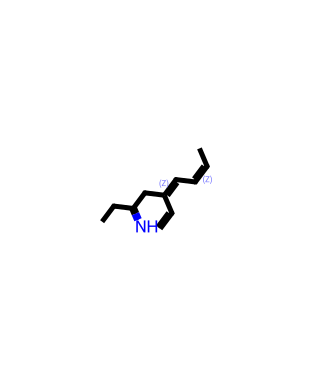 C=C/C(=C\C=C/C)CC(=N)CC